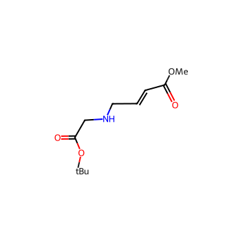 COC(=O)C=CCNCC(=O)OC(C)(C)C